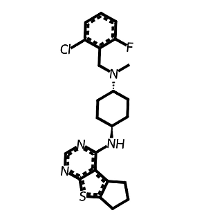 CN(Cc1c(F)cccc1Cl)[C@H]1CC[C@H](Nc2ncnc3sc4c(c23)CCC4)CC1